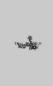 CCNCC(C)(C)CN1CCN(C(=O)CC2=C(C(=O)O)C(c3c(Cl)cccc3Cl)C(C(=O)O)=C(CCc3nccs3)N2)CC1